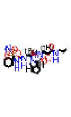 C=CCNC(=O)C(=O)[C@H](CCCC)NC(=O)[C@@H]1[C@H]2CCC[C@H]2CN1C(=O)[C@@H](NC(=O)NC1(CS(=O)(=O)N(C)C)CCCCC1)C(C)(C)C